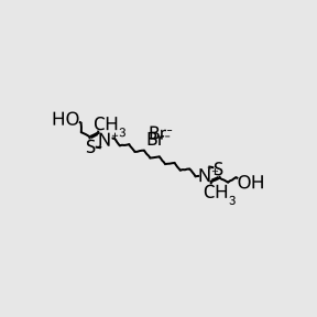 Cc1c(CCO)sc[n+]1CCCCCCCCCCCC[n+]1csc(CCO)c1C.[Br-].[Br-]